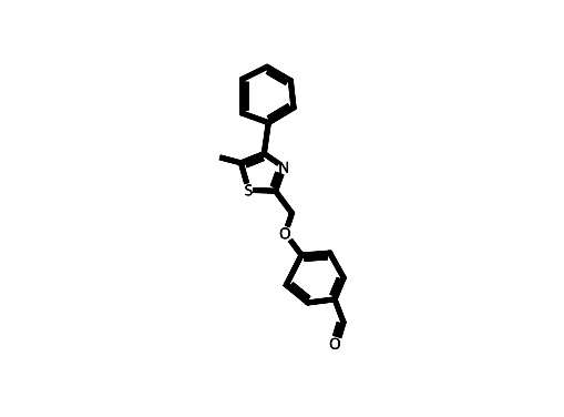 Cc1sc(COc2ccc(C=O)cc2)nc1-c1ccccc1